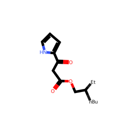 CCCCC(CC)COC(=O)CC(=O)c1ccc[nH]1